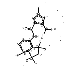 Cn1cc(C(=O)Nc2ccc(F)c3c2C(C)(C)CC3(C)C)c(C(F)F)n1